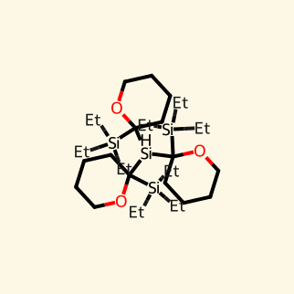 CC[Si](CC)(CC)C1([SiH](C2([Si](CC)(CC)CC)CCCCO2)C2([Si](CC)(CC)CC)CCCCO2)CCCCO1